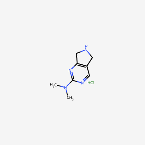 CN(C)c1ncc2c(n1)CNC2.Cl